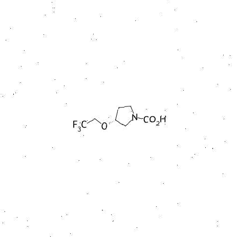 O=C(O)N1CC[C@@H](OCC(F)(F)F)C1